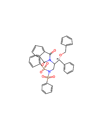 O=C1c2ccccc2C(=O)N1C(CN(S(=O)(=O)c1ccccc1)S(=O)(=O)c1ccccc1)[C@H](OCc1ccccc1)c1ccccc1